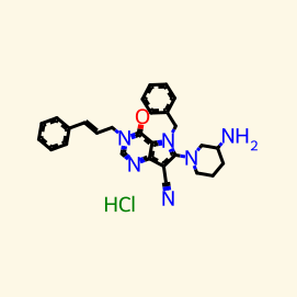 Cl.N#Cc1c(N2CCCC(N)C2)n(Cc2ccccc2)c2c(=O)n(CC=Cc3ccccc3)cnc12